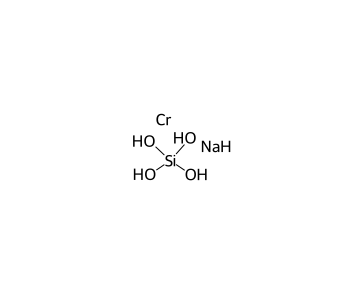 O[Si](O)(O)O.[Cr].[NaH]